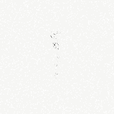 O=[N+]([O-])c1nccn1Cc1cn(CCOCCOCCOCCF)nn1